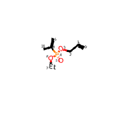 C=CCOP(=O)(OCC)C(=C)C